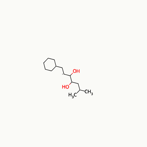 CC(C)CC(O)C(O)[CH]CC1CCCCC1